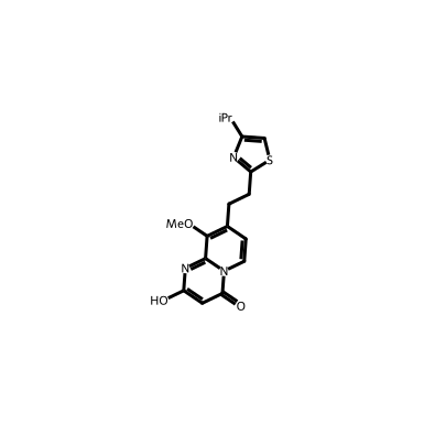 COc1c(CCc2nc(C(C)C)cs2)ccn2c(=O)cc(O)nc12